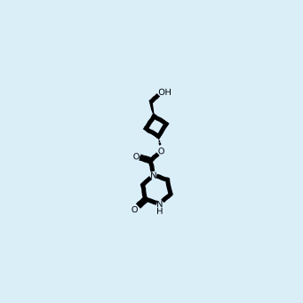 O=C1CN(C(=O)O[C@H]2C[C@H](CO)C2)CCN1